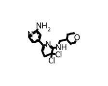 Nc1cc(C2=CCC(Cl)(Cl)C(NCC3CCOCC3)=N2)ccn1